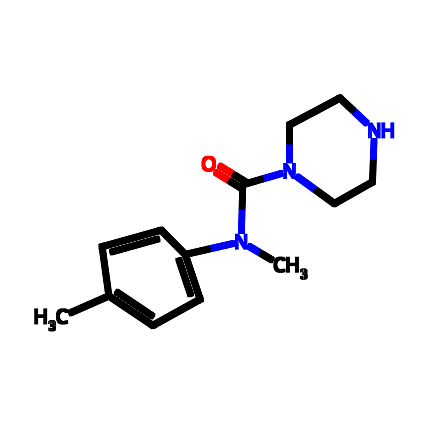 Cc1ccc(N(C)C(=O)N2CCNCC2)cc1